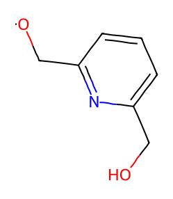 [O]Cc1cccc(CO)n1